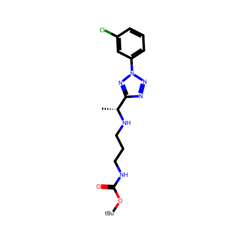 C[C@@H](NCCCNC(=O)OC(C)(C)C)c1nnn(-c2cccc(Cl)c2)n1